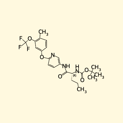 CCC[C@@H](NC(=O)OC(C)(C)C)C(=O)Nc1ccc(Oc2ccc(C)c(OC(F)(F)F)c2)nc1